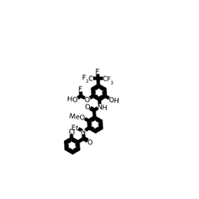 CCN(C(=O)c1ccccc1Cl)c1cccc(C(=O)Nc2c(O)cc(C(F)(C(F)(F)F)C(F)(F)F)cc2OC(O)F)c1OC